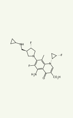 Cc1c(N2C[C@@H](CNC3CC3)[C@H](F)C2)c(F)c(N)c2c(=O)c(C(=O)O)cn([C@@H]3C[C@@H]3F)c12